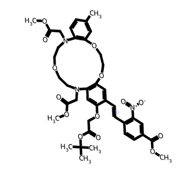 COC(=O)CN1CCOCCN(CC(=O)OC)c2cc(OCC(=O)OC(C)(C)C)c(/C=C/c3ccc(C(=O)OC)cc3[N+](=O)[O-])cc2OCCOc2cc(C)ccc21